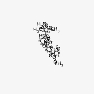 COCOc1ccc(OC)cc1C(=O)c1ccc(C(=O)O[N+]2(C(=O)[O-])CCCCC(NC(=O)c3cc(OC)c(OC)c(OC)c3)C2)cc1